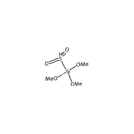 CO[Si](OC)(OC)[SH](=O)=O